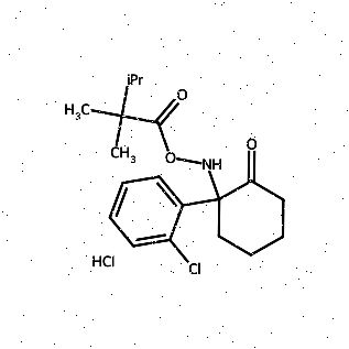 CC(C)C(C)(C)C(=O)ONC1(c2ccccc2Cl)CCCCC1=O.Cl